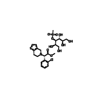 COC(=O)[C@H](c1ccccc1Cl)N1CCc2sccc2C1.CS(=O)(=O)O[C@@H]([C@H](O)[C@H](O)CO)[C@H](O)CO